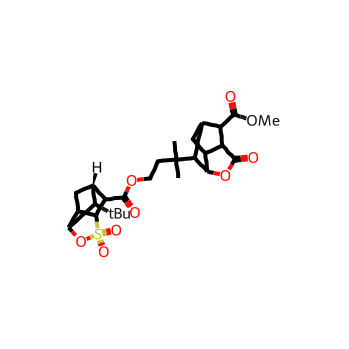 COC(=O)C1C2CC3C(OC(=O)C31)C2C(C)(C)CCOC(=O)C1C2C3C[C@H]1C(C(C)(C)C)C3OS2(=O)=O